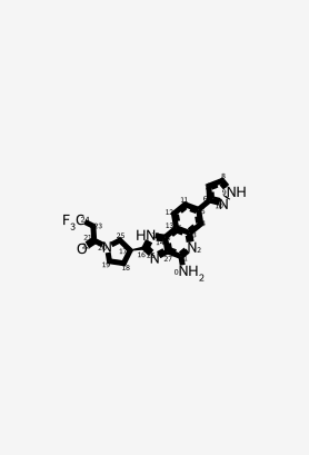 Nc1nc2cc(-c3cc[nH]n3)ccc2c2[nH]c([C@H]3CCN(C(=O)CC(F)(F)F)C3)nc12